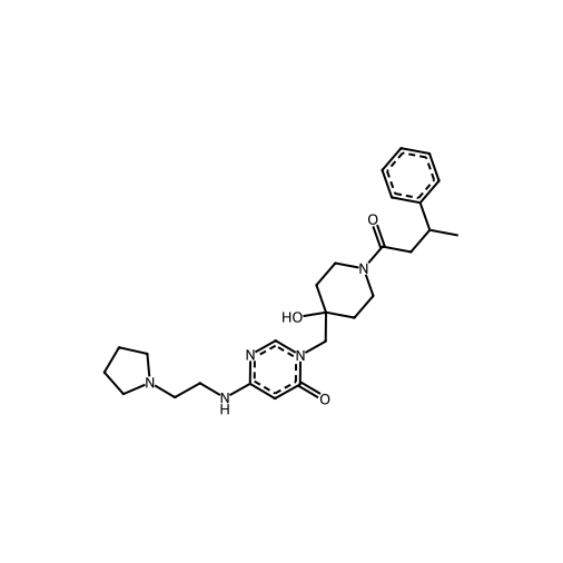 CC(CC(=O)N1CCC(O)(Cn2cnc(NCCN3CCCC3)cc2=O)CC1)c1ccccc1